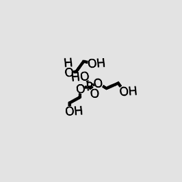 O=P(O)(OCCO)OCCO.OCCO